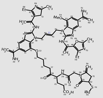 C=C(Nc1nc2cc(C(=C)N)cc(OCCCCC(=O)C(CCC(=O)O)NC(=O)CN3C(=C)CC(SC(C)CC)C3=O)c2n1C/C=C/Cn1c(NC(=C)c2oc(C)nc2CC)nc2cc(C(=C)N)cc(OC)c21)C1=C(CC)N=C(C)C1